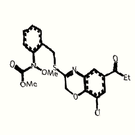 CCC(=O)c1cc(Cl)c2c(c1)N=C(SCc1ccccc1N(OC)C(=O)OC)CO2